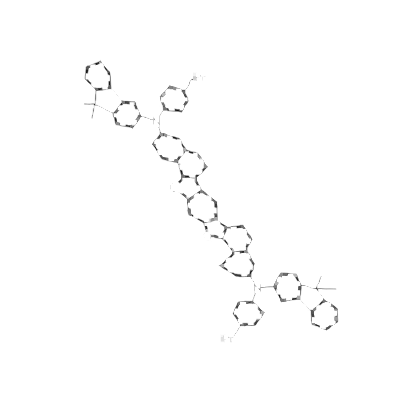 CC(C)c1ccc(N(c2ccc3c(c2)-c2ccccc2C3(C)C)c2ccc3c(ccc4c5cc6c(cc5oc34)oc3c4ccc(N(c5ccc(C(C)C)cc5)c5ccc7c(c5)-c5ccccc5C7(C)C)cc4ccc63)c2)cc1